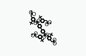 COC(=O)Cc1ccc(OP(Oc2ccc(CC(=O)OC)cc2C(C)(C)C)c2ccc(-c3ccc(P(Oc4ccc(CC(=O)OC)cc4C(C)(C)C)Oc4ccc(CC(=O)OC)cc4C(C)(C)C)cc3)cc2)c(C(C)(C)C)c1